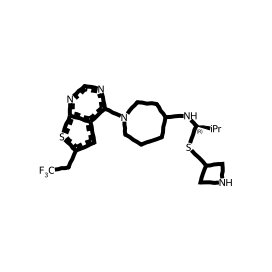 CC(C)[C@H](NC1CCCN(c2ncnc3sc(CC(F)(F)F)cc23)CC1)SC1CNC1